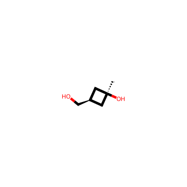 [CH2][C@]1(O)C[C@@H](CO)C1